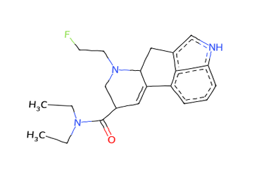 CCN(CC)C(=O)C1C=C2c3cccc4[nH]cc(c34)CC2N(CCF)C1